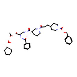 CC(OC(=O)OC1CCCCC1)OC(=O)C(CNC(=O)[C@@H]1CCCN(C(=O)CCC2CCN(C(=O)OCc3ccccc3)CC2)C1)NC(=O)c1ccccc1